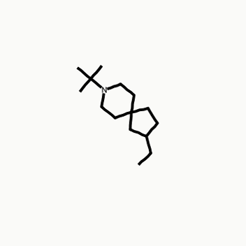 CCC1CCC2(CCN(C(C)(C)C)CC2)C1